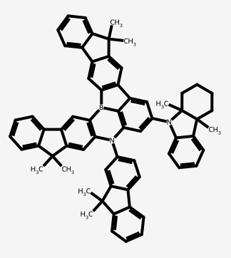 CC1(C)c2ccccc2-c2ccc(N3c4cc5c(cc4B4c6cc7c(cc6-c6cc(N8c9ccccc9C9(C)CCCCC89C)cc3c64)C(C)(C)c3ccccc3-7)-c3ccccc3C5(C)C)cc21